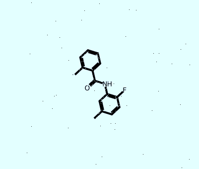 [CH2]c1ccccc1C(=O)Nc1cc(C)ccc1F